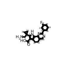 NCC1(c2[nH]c3c(c2C(=O)O)CCc2cnc(-c4cccc(F)c4)nc2-3)CC1